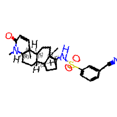 CN1C(=O)C=C[C@]2(C)[C@H]3CC[C@]4(C)[C@@H](NS(=O)(=O)c5cccc(C#N)c5)CC[C@H]4[C@@H]3CC[C@@H]12